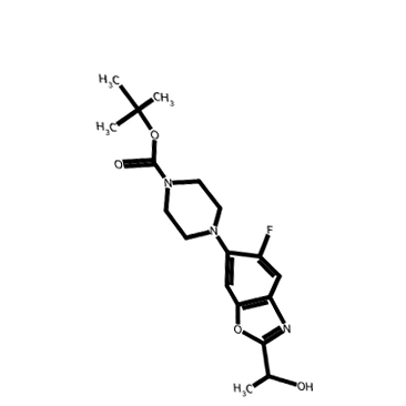 CC(O)c1nc2cc(F)c(N3CCN(C(=O)OC(C)(C)C)CC3)cc2o1